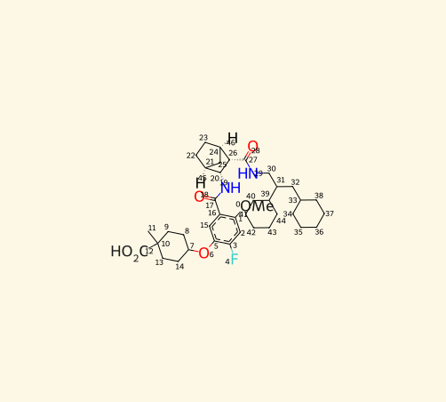 COc1cc(F)c(OC2CCC(C)(C(=O)O)CC2)cc1C(=O)N[C@@H]1[C@H]2CC[C@H](C2)[C@@H]1C(=O)NCC(CC1CCCCC1)C1CCCCC1